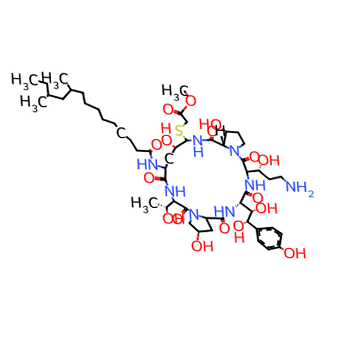 CCC(C)CC(C)CCCCCCCCC(=O)NC1C[C@@H](O)C(SCC(=O)OC)NC(=O)[C@@H]2[C@@H](O)CCN2C(=O)C([C@H](O)CCN)NC(=O)[C@H]([C@H](O)[C@@H](O)c2ccc(O)cc2)NC(=O)C2C[C@@H](O)CN2C(=O)C([C@@H](C)O)NC1=O